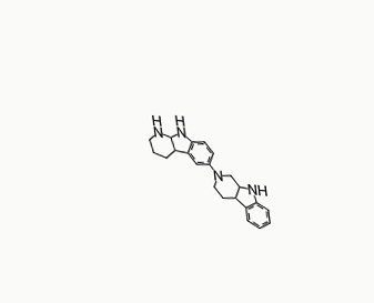 c1ccc2c(c1)NC1CN(c3ccc4c(c3)C3CCCNC3N4)CCC21